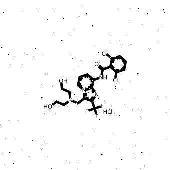 Cl.O=C(Nc1cccn2c(CN(CCO)CCO)c(C(F)(F)F)nc12)c1c(Cl)cccc1Cl